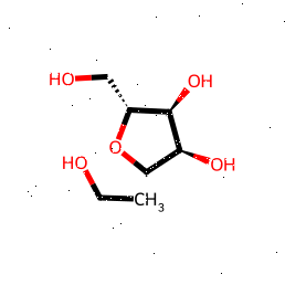 CCO.OC[C@H]1O[CH][C@H](O)[C@@H]1O